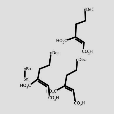 CCCCCCCCCCCC/C(=C/C(=O)O)C(=O)O.CCCCCCCCCCCC/C(=C/C(=O)O)C(=O)O.CCCCCCCCCCCC/C(=C/C(=O)O)C(=O)O.CCC[CH2][Sn]